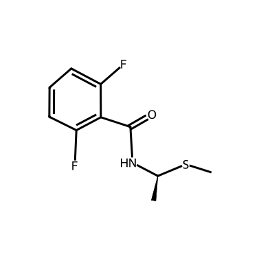 CS[C@@H](C)NC(=O)c1c(F)cccc1F